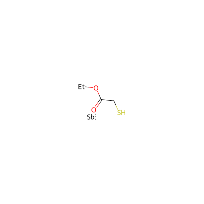 CCOC(=O)CS.[Sb]